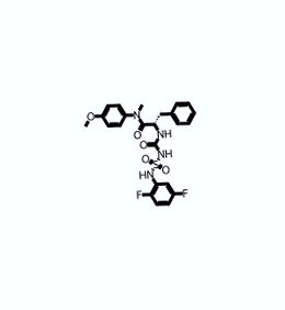 COc1ccc(N(C)C(=O)[C@H](Cc2ccccc2)NC(=O)NS(=O)(=O)Nc2cc(F)ccc2F)cc1